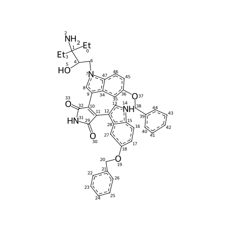 CCC(N)(CC)C(O)Cn1cc(C2=C(c3c[nH]c4ccc(OCc5ccccc5)cc34)C(=O)NC2=O)c2cc(OCc3ccccc3)ccc21